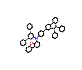 c1ccc(-c2cc(-c3ccccc3)cc(N(c3ccc(-c4ccc5c(c4)c(-c4ccccc4)c(-c4ccccc4)c4ccccc45)cc3)c3cccc4c3oc3ccccc34)c2)cc1